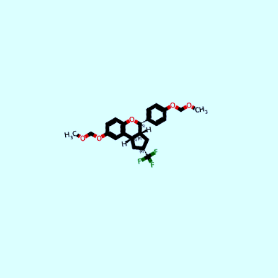 COCOc1ccc([C@H]2Oc3ccc(OCOC)cc3[C@H]3C[C@@H](C(F)(F)F)C[C@H]32)cc1